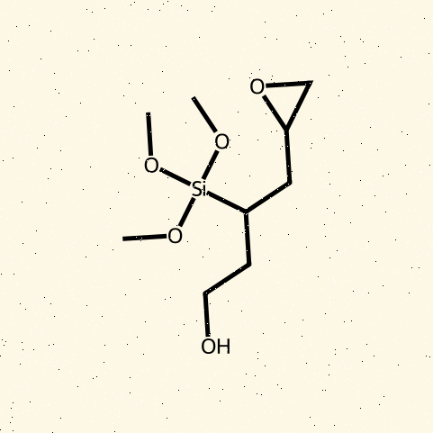 CO[Si](OC)(OC)C(CCO)CC1CO1